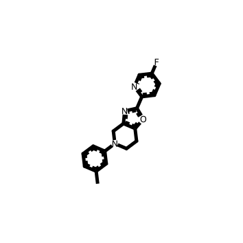 Cc1cccc(N2CCc3oc(-c4ccc(F)cn4)nc3C2)c1